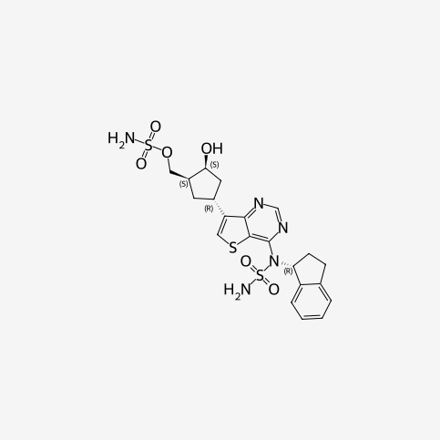 NS(=O)(=O)OC[C@@H]1C[C@@H](c2csc3c(N([C@@H]4CCc5ccccc54)S(N)(=O)=O)ncnc23)C[C@@H]1O